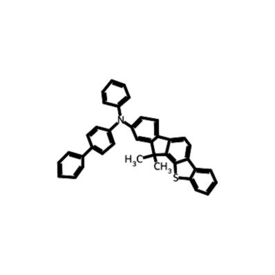 CC1(C)c2cc(N(c3ccccc3)c3ccc(-c4ccccc4)cc3)ccc2-c2ccc3c(sc4ccccc43)c21